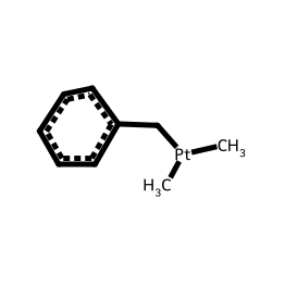 [CH3][Pt]([CH3])[CH2]c1ccccc1